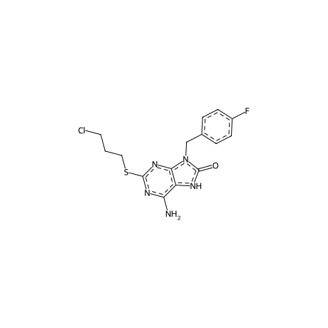 Nc1nc(SCCCCl)nc2c1[nH]c(=O)n2Cc1ccc(F)cc1